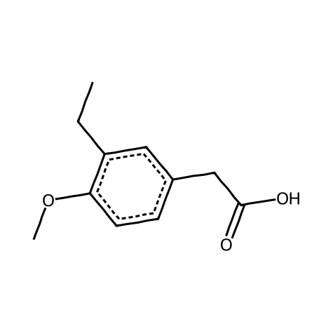 CCc1cc(CC(=O)O)ccc1OC